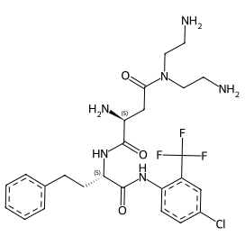 NCCN(CCN)C(=O)C[C@H](N)C(=O)N[C@@H](CCc1ccccc1)C(=O)Nc1ccc(Cl)cc1C(F)(F)F